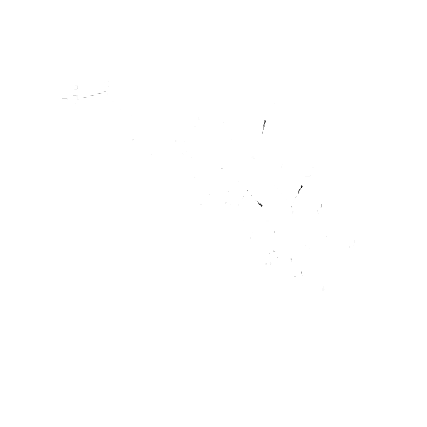 CCC(=O)O[C@H]1[C@@H](C)C[C@H]2[C@@H]3C[C@H](F)C4=CC(=O)C(CC#CCO)=C[C@]4(C)[C@@]3(F)[C@@H](O)C[C@@]21C